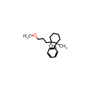 COCCC[C@]1(C)CCCC[C@]1(C)c1ccccc1